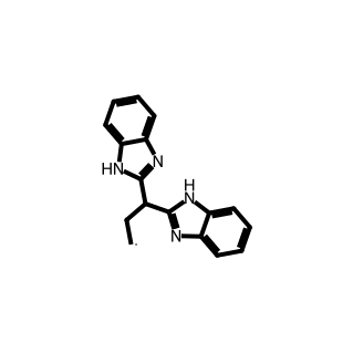 [CH2]CC(c1nc2ccccc2[nH]1)c1nc2ccccc2[nH]1